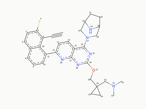 C#Cc1c(F)ccc2cccc(-c3ccc4c(N5CC6CCC(C5)N6)nc(OCC5(CN(C)C)CC5)nc4n3)c12